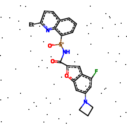 CCc1ccc2cccc([S+]([O-])NC(=O)c3cc4c(F)cc(N5CCC5)cc4o3)c2n1